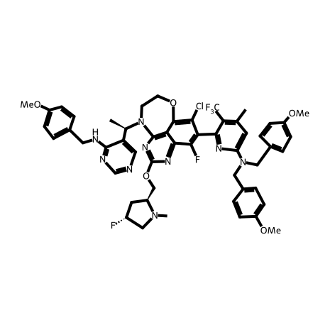 COc1ccc(CNc2ncncc2[C@@H](C)N2CCOc3c(Cl)c(-c4nc(N(Cc5ccc(OC)cc5)Cc5ccc(OC)cc5)cc(C)c4C(F)(F)F)c(F)c4nc(OC[C@@H]5C[C@@H](F)CN5C)nc2c34)cc1